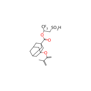 C=C(C)C(=C)OC12CC3CC(C1)CC(C(=O)OC(CS(=O)(=O)O)C(F)(F)F)(C3)C2